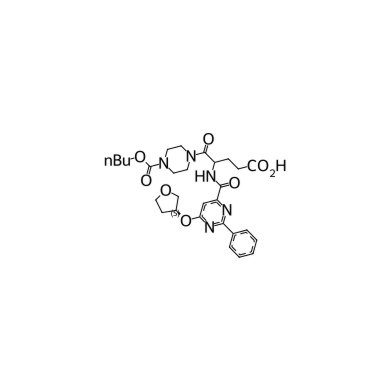 CCCCOC(=O)N1CCN(C(=O)C(CCC(=O)O)NC(=O)c2cc(O[C@H]3CCOC3)nc(-c3ccccc3)n2)CC1